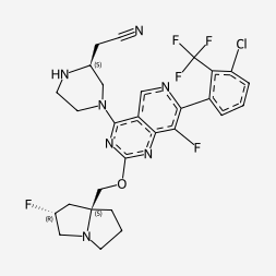 N#CC[C@H]1CN(c2nc(OC[C@@]34CCCN3C[C@H](F)C4)nc3c(F)c(-c4cccc(Cl)c4C(F)(F)F)ncc23)CCN1